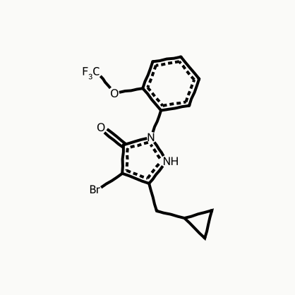 O=c1c(Br)c(CC2CC2)[nH]n1-c1ccccc1OC(F)(F)F